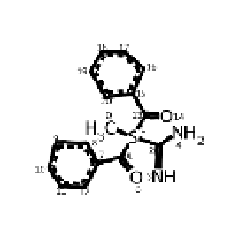 CS(C(=N)N)(C(=O)c1ccccc1)C(=O)c1ccccc1